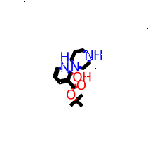 CC(C)(C)OC(=O)C1=CC=CNC1(O)N1CCCNCC1